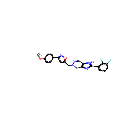 Fc1cccc(-c2nc3c([nH]2)C=NN(Cc2cc(-c4ccc(OC(F)(F)F)cc4)no2)C3)c1F